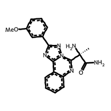 COc1cccc(-c2nc3c4ccccc4nc([C@@](C)(N)C(N)=O)n3n2)c1